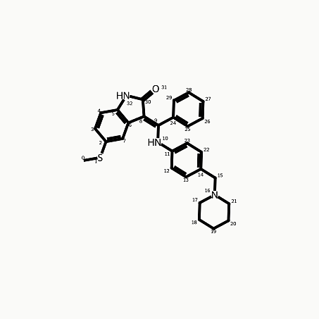 CSc1ccc2c(c1)C(=C(Nc1ccc(CN3CCCCC3)cc1)c1ccccc1)C(=O)N2